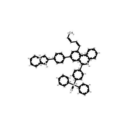 C/C=C\C=C/c1cc(-c2ccc(-c3cn4ccccc4n3)cc2)cc2c(-c3ccc(P(=O)(c4ccccc4)c4ccccc4)cc3)nc3ccccc3c12